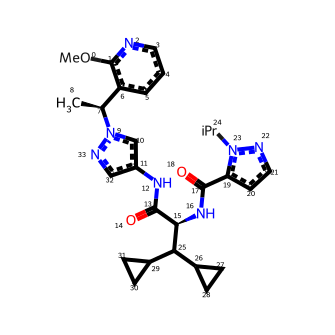 COc1ncccc1[C@H](C)n1cc(NC(=O)[C@@H](NC(=O)c2ccnn2C(C)C)C(C2CC2)C2CC2)cn1